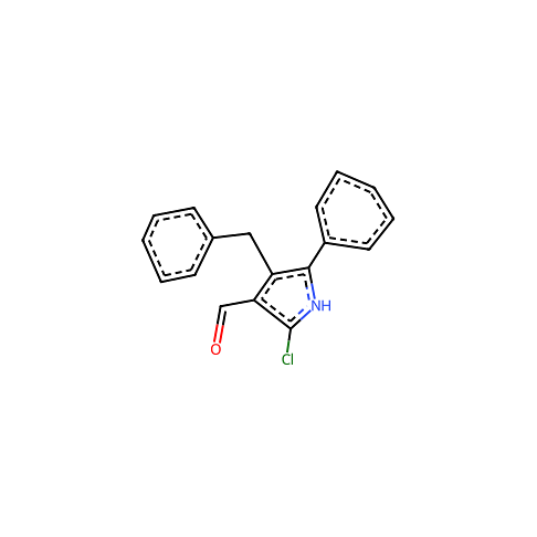 O=Cc1c(Cl)[nH]c(-c2ccccc2)c1Cc1ccccc1